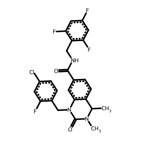 CC1c2ccc(C(=O)NCc3c(F)cc(F)cc3F)cc2N(Cc2ccc(Cl)cc2F)C(=O)N1C